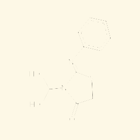 CC(C)N1C(=O)CSC1=Nc1ccccc1